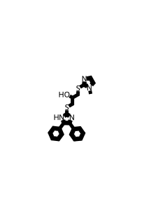 Cn1ccnc1SCC(O)CSc1nc(-c2ccccc2)c(-c2ccccc2)[nH]1